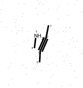 CC#CC.CN